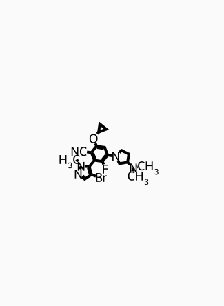 CN(C)C1CCN(c2cc(OC3CC3)c(C#N)c(-c3c(Br)cnn3C)c2F)C1